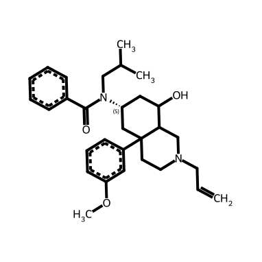 C=CCN1CCC2(c3cccc(OC)c3)C[C@H](N(CC(C)C)C(=O)c3ccccc3)CC(O)C2C1